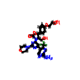 Nc1ncc(-c2cc(N3C(=O)OC(c4ccc(OCCO)cc4)C3CO)nc(N3CCOCC3)n2)c(C(F)(F)F)n1